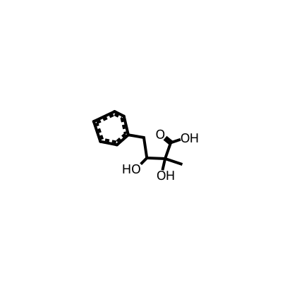 CC(O)(C(=O)O)C(O)Cc1ccccc1